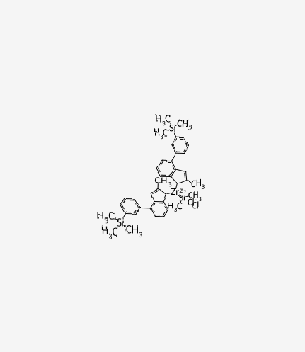 CC1=Cc2c(-c3cccc([Si](C)(C)C)c3)cccc2[CH]1[Zr+2]([CH]1C(C)=Cc2c(-c3cccc([Si](C)(C)C)c3)cccc21)=[Si](C)C.[Cl-].[Cl-]